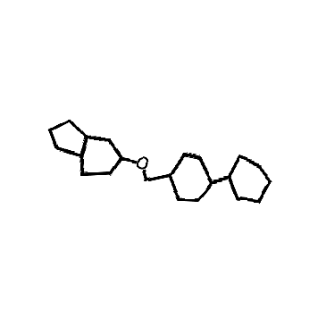 C1CCC(C2CCC(COC3CCC4CCCC4C3)CC2)CC1